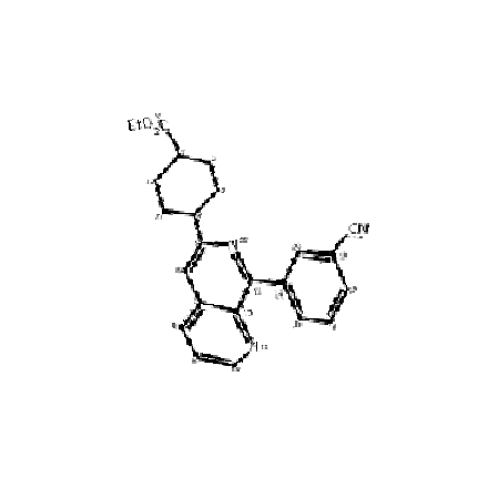 CCOC(=O)C1CCC(c2cc3cccnc3c(-c3cccc(C#N)c3)n2)CC1